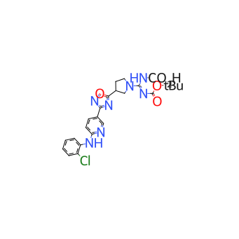 CC(C)(C)OC(=O)N=C(NC(=O)O)N1CCC(c2nc(-c3ccc(Nc4ccccc4Cl)nc3)no2)C1